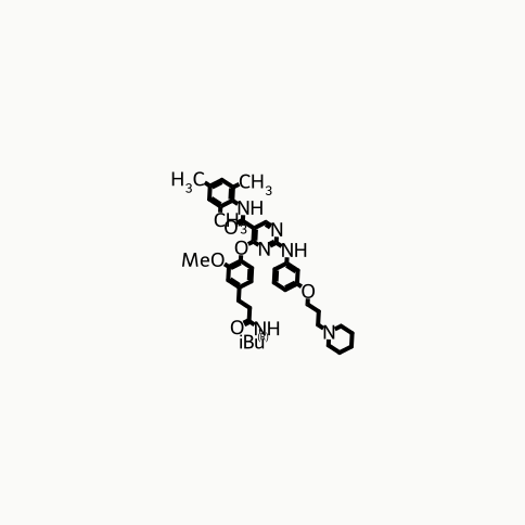 CC[C@@H](C)NC(=O)CCc1ccc(Oc2nc(Nc3cccc(OCCCN4CCCCC4)c3)ncc2C(=O)Nc2c(C)cc(C)cc2C)c(OC)c1